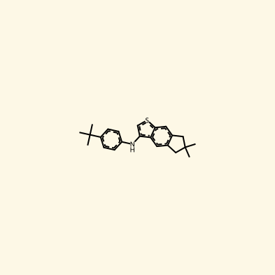 CC1(C)Cc2cc3scc(Nc4ccc(C(C)(C)C)cc4)c3cc2C1